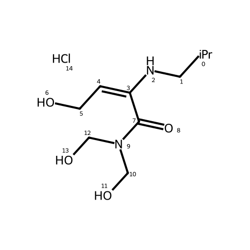 CC(C)CNC(=CCO)C(=O)N(CO)CO.Cl